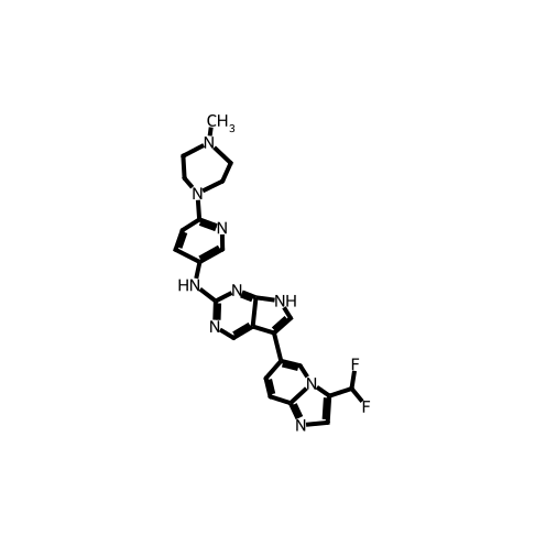 CN1CCN(c2ccc(Nc3ncc4c(-c5ccc6ncc(C(F)F)n6c5)c[nH]c4n3)cn2)CC1